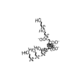 CC(=O)[O-].CC(=O)[O-].CCC(O)C(=O)[O-].CO.C[N+](C)(C)CCO.C[N+](C)(C)CCO.C[N+](C)(C)CCO.C[N+](C)(C)CCO.C[N+](C)(C)CCO.O=C([O-])CC(=O)[O-]